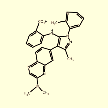 Cc1ccccc1-n1nc(C)c(-c2ccc3ncc(N(C)C)nc3c2)c1Nc1ccccc1C(=O)O